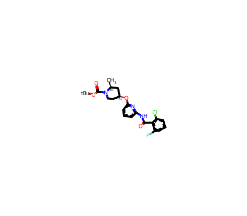 C[C@H]1C[C@@H](Oc2cccc(NC(=O)c3c(F)cccc3Cl)n2)CCN1C(=O)OC(C)(C)C